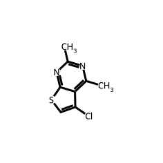 Cc1nc(C)c2c(Cl)csc2n1